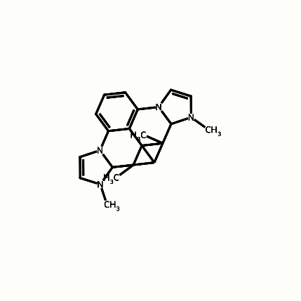 CN1C=CN2c3cccc4c3C35C(C3(C)C12)C5(C)C1N(C)C=CN41